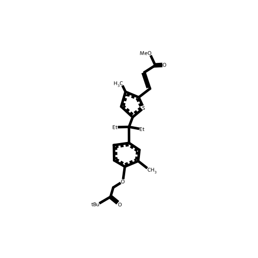 CCC(CC)(c1ccc(OCC(=O)C(C)(C)C)c(C)c1)c1cc(C)c(/C=C/C(=O)OC)s1